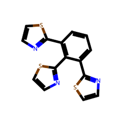 [c]1ccc(-c2nccs2)c(-c2nccs2)c1-c1nccs1